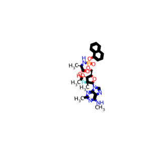 CCOC(=O)[C@H](C)NP(=O)(OC[C@H]1O[C@@H](n2cnc3c(NC)nc(C)nc32)[C@](C)(F)[C@@H]1O)Oc1cccc2ccccc12